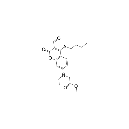 CCCCSc1c(C=O)c(=O)oc2cc(N(CC)CC(=O)OC)ccc12